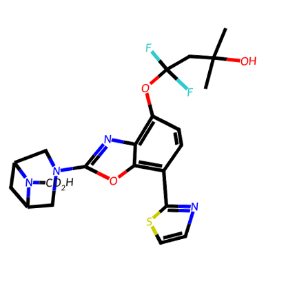 CC(C)(O)CC(F)(F)Oc1ccc(-c2nccs2)c2oc(N3CC4CC(C3)N4C(=O)O)nc12